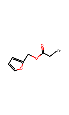 CC(C)CC(=O)OCc1ccco1